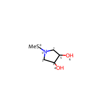 CSN1CC(O)C(O)C1